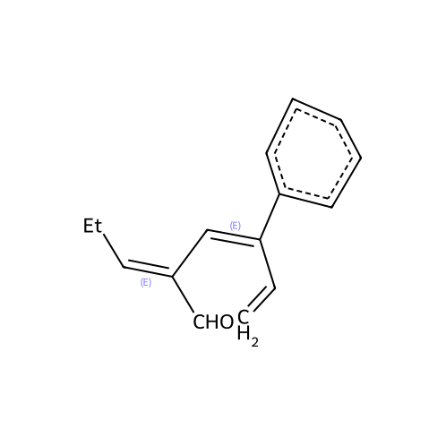 C=C/C(=C\C(C=O)=C/CC)c1ccccc1